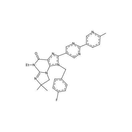 CCN1C(=O)c2nc(-c3cnc(-c4ccc(C)nc4)nc3)n(Cc3ccc(F)cc3)c2N2CC(C)(C)N=C12